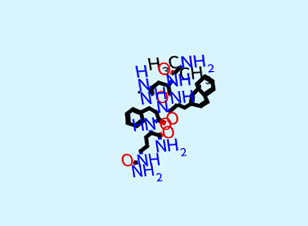 CC(C)(N)C(=O)NC(Cc1cnc[nH]1)C(=O)NC(Cc1ccc2ccccc2c1)C(=O)NC(Cc1ccccc1)C(=O)NC(CCCNC(N)=O)C(N)=O